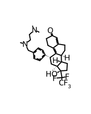 CN(C)CCN(C)Cc1ccc([C@H]2C[C@@]3(C)[C@@H](CC[C@]3(O)C(F)(F)C(F)(F)F)[C@@H]3CCC4=CC(=O)CCC4=C32)cc1